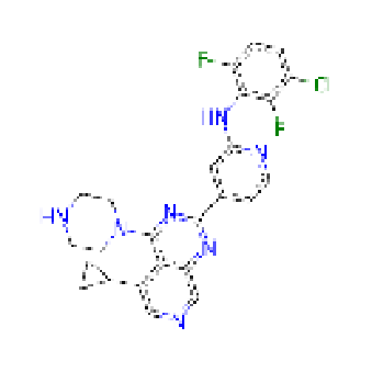 Fc1ccc(Cl)c(F)c1Nc1cc(-c2nc(N3CCNCC3)c3c(C4CC4)cncc3n2)ccn1